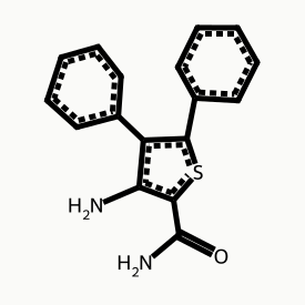 NC(=O)c1sc(-c2ccccc2)c(-c2ccccc2)c1N